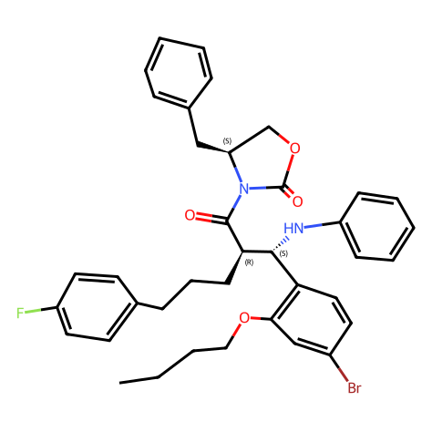 CCCCOc1cc(Br)ccc1[C@@H](Nc1ccccc1)[C@@H](CCCc1ccc(F)cc1)C(=O)N1C(=O)OC[C@@H]1Cc1ccccc1